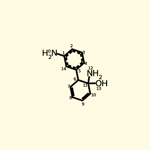 Nc1cccc(C2C=CC=CC2(N)O)c1